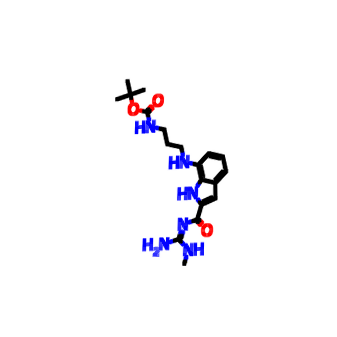 CNC(N)=NC(=O)c1cc2cccc(NCCCNC(=O)OC(C)(C)C)c2[nH]1